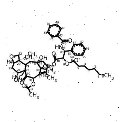 CCCCCCC(=O)O[C@@H](C(=O)O[C@H]1C[C@@]2(O)[C@@H](C)C3[C@]4(C)CO[C@@H]4C[C@H](O)[C@@]3(C)C(=O)[C@H](OC(C)=O)C(=C1C)C2(C)C)[C@@H](NC(=O)c1ccccc1)c1ccccc1